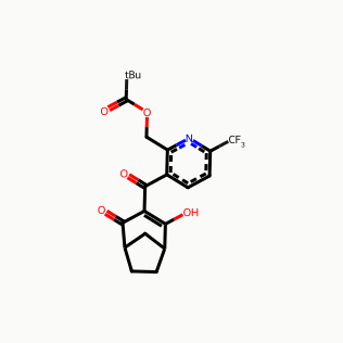 CC(C)(C)C(=O)OCc1nc(C(F)(F)F)ccc1C(=O)C1=C(O)C2CCC(C2)C1=O